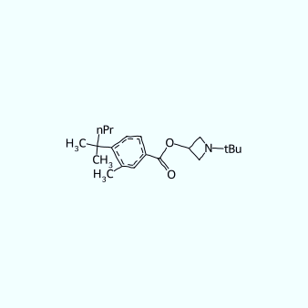 CCCC(C)(C)c1ccc(C(=O)OC2CN(C(C)(C)C)C2)cc1C